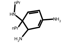 CCCNC1(CCC)C=CC(N)=CC1N